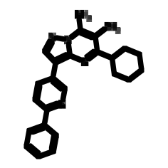 Bc1c(C2CCCCC2)nc2c(-c3ccc(-c4ccccc4)nc3)cnn2c1N